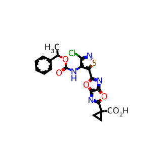 CC(OC(=O)Nc1c(Cl)nsc1-c1nc2oc(C3(C(=O)O)CC3)nc2o1)c1ccccc1